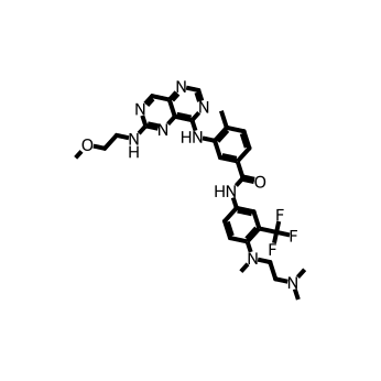 COCCNc1ncc2ncnc(Nc3cc(C(=O)Nc4ccc(N(C)CCN(C)C)c(C(F)(F)F)c4)ccc3C)c2n1